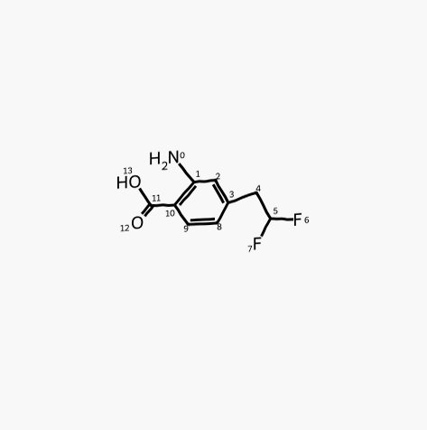 Nc1cc(CC(F)F)ccc1C(=O)O